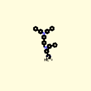 C#C/C=C\C(=C/C)c1ccc2c(c1)c1cc(C3=CCCC=C3)ccc1n2Cc1ccc(-c2ccc(N(c3ccc(C4=CCCC=C4)cc3)c3ccc(C4=CC=CCC4)cc3)cc2)cc1